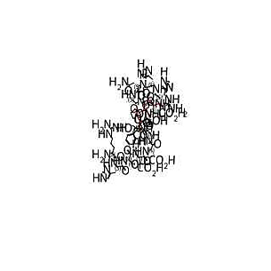 C[C@H](NC(=O)[C@H](CC(N)=O)NC(=O)[C@H](Cc1c[nH]cn1)NC(=O)[C@H](Cc1c[nH]cn1)NC(=O)[C@H](CC(=O)O)NC(=O)[C@@H]1CCCN1C(=O)[C@H](Cc1ccccc1)NC(=O)[C@H](C)NC(=O)[C@H](CC(=O)O)NC(=O)[C@H](CC(=O)O)NC(=O)[C@@H](NC(=O)[C@H](Cc1c[nH]cn1)NC(=O)[C@@H](N)CCCNC(=N)N)[C@@H](C)O)C(=O)N[C@@H](CCCNC(=N)N)C(=O)N[C@H](C(=O)N[C@@H](CO)C(=O)O)[C@@H](C)O